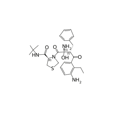 CCc1c(N)cccc1C(=O)[C@@H](Cc1ccccc1)[C@](N)(O)C(=O)N1CSC[C@H]1C(=O)NC(C)(C)C